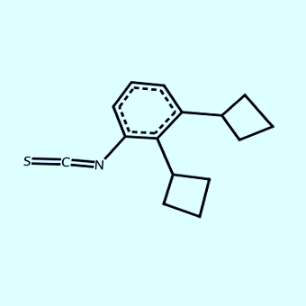 S=C=Nc1cccc(C2CCC2)c1C1CCC1